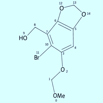 COCOc1cc2c(c(CO)c1Br)OCO2